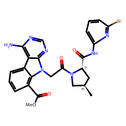 COC(=O)c1cccc2c3c(N)ncnc3n(CC(=O)N3C[C@H](C)C[C@H]3C(=O)Nc3cccc(Br)n3)c12